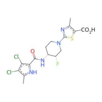 Cc1nc(N2CC[C@@H](NC(=O)c3[nH]c(C)c(Cl)c3Cl)[C@@H](F)C2)sc1C(=O)O